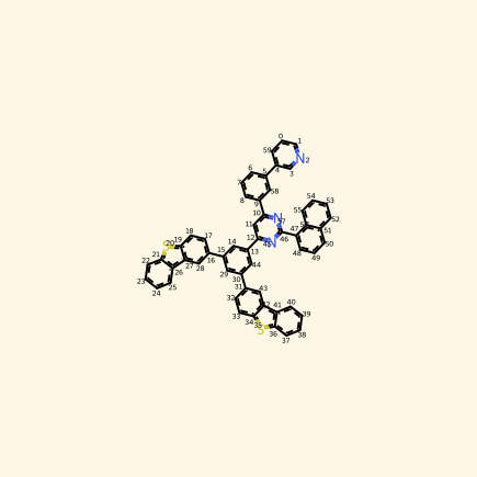 c1cncc(-c2cccc(-c3cc(-c4cc(-c5ccc6sc7ccccc7c6c5)cc(-c5ccc6sc7ccccc7c6c5)c4)nc(-c4cccc5ccccc45)n3)c2)c1